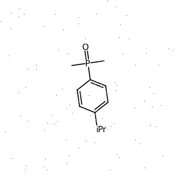 CC(C)c1ccc(P(C)(C)=O)cc1